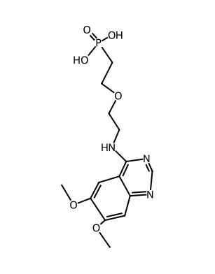 COc1cc2ncnc(NCCOCCP(=O)(O)O)c2cc1OC